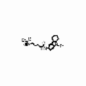 CCS(=O)(=O)NCCCCC(=O)Nc1ccc2c(c1)c1c(n2C(C)C)CCCC1